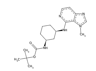 Cn1cnc2ccnc(N[C@@H]3CCC[C@H](NC(=O)OC(C)(C)C)C3)c21